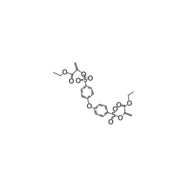 C=C(OS(=O)(=O)c1ccc(Oc2ccc(S(=O)(=O)OC(=C)C(=O)OCC)cc2)cc1)C(=O)OCC